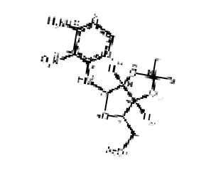 CC(=O)OC[C@H]1O[C@@H](Nc2ncnc(N)c2[N+](=O)[O-])[C@@H]2OC(C)(C)O[C@@H]21